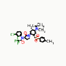 Cc1ccc(S(=O)(=O)C[C@H]2C[C@H](N(C)C(C)C)CC[C@@H]2N2CC[C@H](N(C(=O)C(F)(F)F)c3cccc(Cl)c3)C2=O)cc1